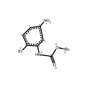 CCc1ccc([N+](=O)[O-])cc1NC(=O)OC(C)(C)C